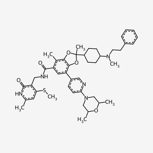 CSc1cc(C)[nH]c(=O)c1CNC(=O)c1cc(-c2ccc(N3CC(C)OC(C)C3)nc2)c2c(c1C)OC(C)(C1CCC(N(C)CCc3ccccc3)CC1)O2